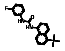 CC(C)(C)c1cccc2c(NC(=O)Nc3cccc(F)c3)cccc12